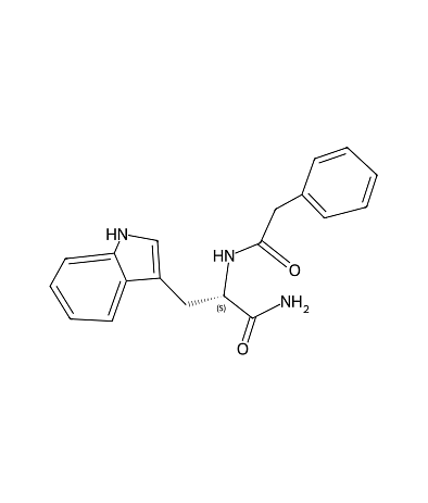 NC(=O)[C@H](Cc1c[nH]c2ccccc12)NC(=O)Cc1ccccc1